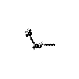 CCCCCCCCOC(=O)[C@@H]1CCc2cc(C(C)=O)c(OCCCCCOc3ccc(C(C)=O)c(O)c3C(C)C)cc2O1